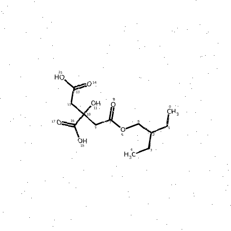 CCC(CC)COC(=O)CC(O)(CC(=O)O)C(=O)O